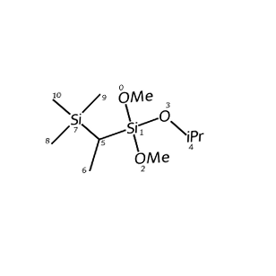 CO[Si](OC)(OC(C)C)C(C)[Si](C)(C)C